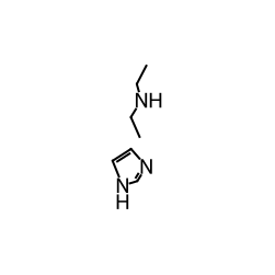 CCNCC.c1c[nH]cn1